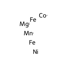 [Co].[Fe].[Fe].[Mg].[Mn].[Ni]